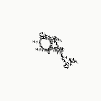 CNN(C)Cc1cc2ccccc2n1CCC(=O)NCCNC(=O)[C@H](O)[C@H](O)C(=O)NCCC(=O)N(C)[C@@H](C)C(=O)O[C@H]1CC(=O)N(C)c2cc(cc(OC)c2Cl)C/C(C)=C/C=C/[C@@H](OC)[C@@]2(O)C[C@H](OC(=O)N2)[C@@H](C)[C@@H]2CC[C@@]12C